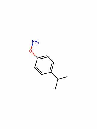 CC(C)c1ccc(ON)cc1